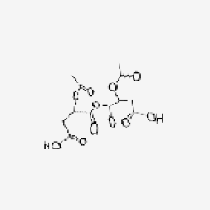 CC(=O)OC(CC(=O)O)C(=O)OC(=O)C(CC(=O)O)OC(C)=O